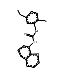 CCc1ccc(Cl)c(NC(=N)Nc2cccc3cccnc23)c1